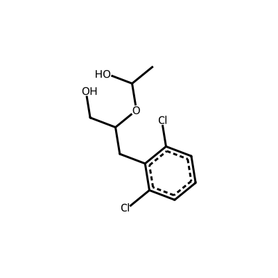 CC(O)OC(CO)Cc1c(Cl)cccc1Cl